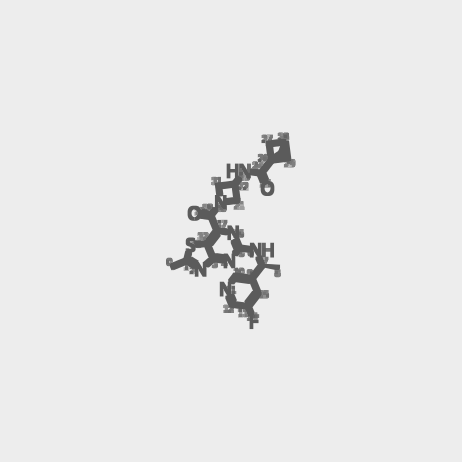 Cc1nc2nc(N[C@@H](C)c3cncc(F)c3)nc(C(=O)N3CC(NC(=O)C45CC(C4)C5)C3)c2s1